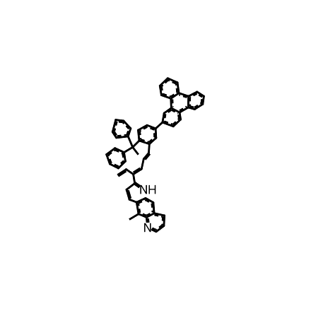 C=C/C(=C\C=C\c1cc(-c2ccc3c4ccccc4c4ccccc4c3c2)ccc1C(C)(c1ccccc1)c1ccccc1)C(=N)/C=C\c1ccc2cccnc2c1C